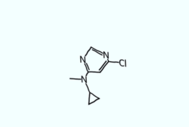 CN(c1cc(Cl)ncn1)C1CC1